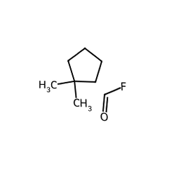 CC1(C)CCCC1.O=CF